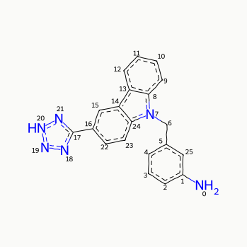 Nc1cccc(Cn2c3ccccc3c3cc(-c4nn[nH]n4)ccc32)c1